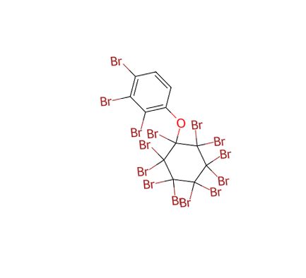 Brc1ccc(OC2(Br)C(Br)(Br)C(Br)(Br)C(Br)(Br)C(Br)(Br)C2(Br)Br)c(Br)c1Br